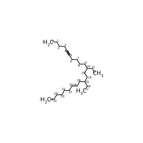 [CH2]CCCC#CCCCCC(CC)CCC(CC)CCCCCCCC[CH2]